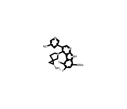 CNc1cc(F)c(F)c2c1[nH]c1ncc(-c3cncc(C#N)c3)c(N3CCC4(C[C@H]4N)C3)c12